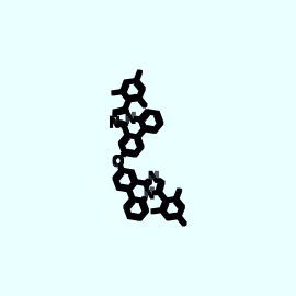 Cc1cc(C)c(-c2cnc3c4cc(Oc5ccc6c7ccccc7n7c(-c8c(C)cc(C)cc8C)cnc7c6c5)ccc4c4ccccc4n23)c(C)c1